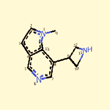 Cn1ccc2cncc(C3CNC3)c21